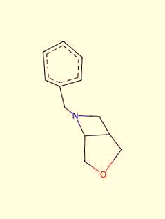 c1ccc(CN2CC3COCC32)cc1